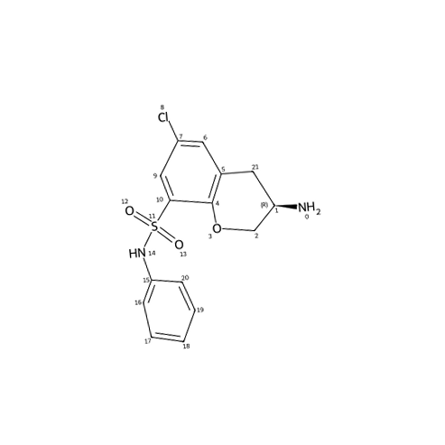 N[C@H]1COc2c(cc(Cl)cc2S(=O)(=O)Nc2ccccc2)C1